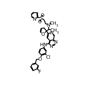 CC(N(C)CCS(=O)(=O)c1ccccn1)C1(c2cc3c(Nc4ccc(OCc5cccc(F)c5)c(Cl)c4)ncnc3cn2)CC=CO1